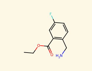 CCOC(=O)c1cc(F)ccc1CN